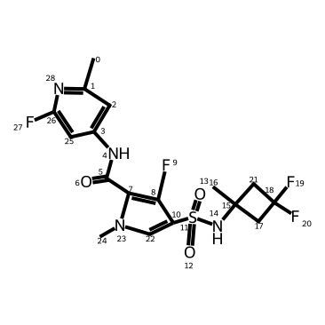 Cc1cc(NC(=O)c2c(F)c(S(=O)(=O)NC3(C)CC(F)(F)C3)cn2C)cc(F)n1